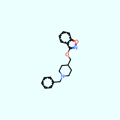 c1ccc(CN2CCC(COc3noc4ccccc34)CC2)cc1